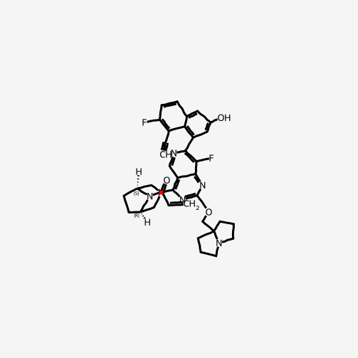 C#Cc1c(F)ccc2cc(O)cc(-c3ncc4c(N5C[C@H]6CC[C@@H](C5)N6C(=O)C=C)nc(OCC56CCCN5CCC6)nc4c3F)c12